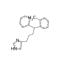 Cc1ccccc1C(CCCc1c[nH]cn1)c1ccccc1